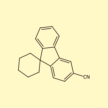 N#Cc1ccc2c(c1)-c1ccccc1C21CCCCC1